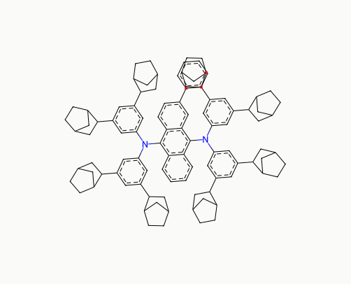 c1ccc(-c2ccc3c(N(c4cc(C5CC6CCC5C6)cc(C5CC6CCC5C6)c4)c4cc(C5CC6CCC5C6)cc(C5CC6CCC5C6)c4)c4ccccc4c(N(c4cc(C5CC6CCC5C6)cc(C5CC6CCC5C6)c4)c4cc(C5CC6CCC5C6)cc(C5CC6CCC5C6)c4)c3c2)cc1